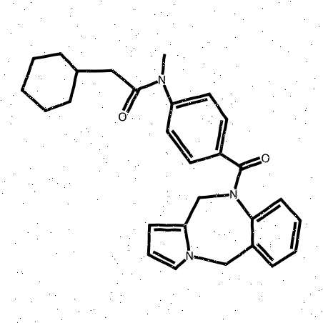 CN(C(=O)CC1CCCCC1)c1ccc(C(=O)N2Cc3cccn3Cc3ccccc32)cc1